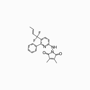 C/C=C/C(F)(F)c1ccc(NN2C(=O)C(C)=C(C)C2=O)nc1-c1ccccc1